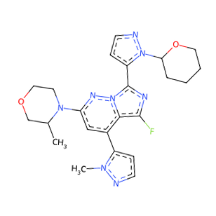 CC1COCCN1c1cc(-c2ccnn2C)c2c(F)nc(-c3ccnn3C3CCCCO3)n2n1